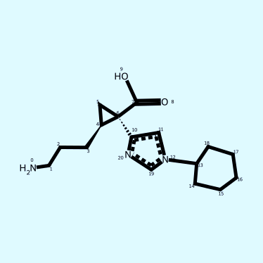 NCCC[C@H]1C[C@]1(C(=O)O)c1cn(C2CCCCC2)cn1